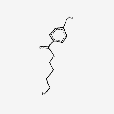 CC(C)CCCCSC(=O)c1ccc(C=O)cc1